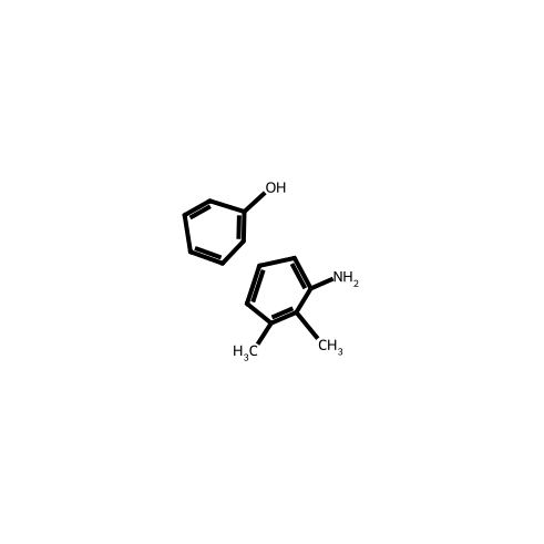 Cc1cccc(N)c1C.Oc1ccccc1